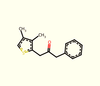 Cc1csc(CC(=O)Cc2ccccc2)c1C